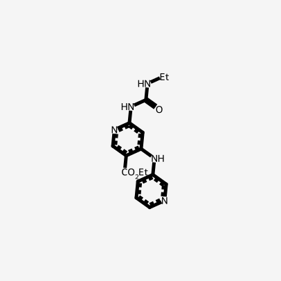 CCNC(=O)Nc1cc(Nc2cccnc2)c(C(=O)OCC)cn1